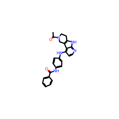 CC(=O)N1CCc2[nH]c3nccc(Nc4ccc(NC(=O)c5ccccc5)cc4)c3c2C1